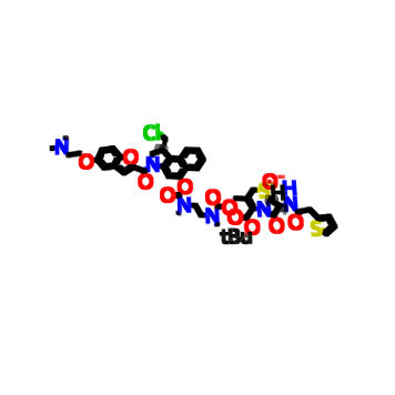 CN(C)CCOc1ccc2oc(C(=O)N3C[C@@H](CCl)c4c3cc(OC(=O)N(C)CCN(C)C(=O)OCC3=C(C(=O)OC(C)(C)C)N5C(=O)[C@@H](NC(=O)Cc6cccs6)[C@H]5[S+]([O-])C3)c3ccccc43)cc2c1